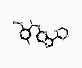 CCOc1ncc(F)cc1[C@@H](C)Nc1ccn2ncc(C3=NOCCN3)c2n1